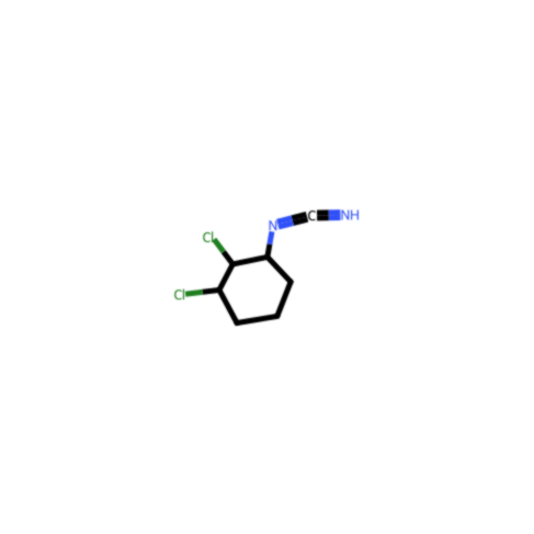 N=C=NC1CCCC(Cl)C1Cl